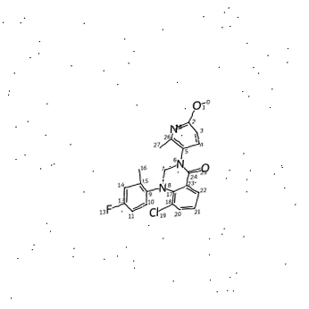 COc1ccc(N2CN(c3ccc(F)cc3C)c3c(Cl)cccc3C2=O)c(C)n1